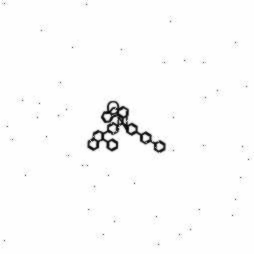 c1ccc(-c2ccc(-c3ccc(N(c4ccc(-c5ccc6ccccc6c5-c5ccccc5)cc4)c4cccc5oc6ccccc6c45)cc3)cc2)cc1